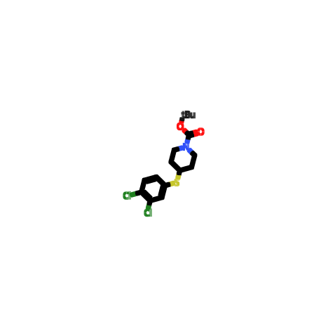 CC(C)(C)OC(=O)N1CCC(Sc2ccc(Cl)c(Cl)c2)CC1